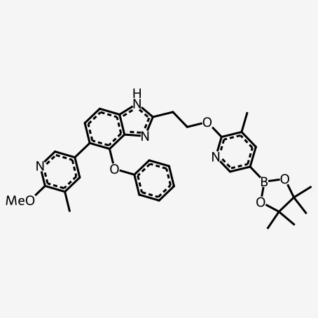 COc1ncc(-c2ccc3[nH]c(CCOc4ncc(B5OC(C)(C)C(C)(C)O5)cc4C)nc3c2Oc2ccccc2)cc1C